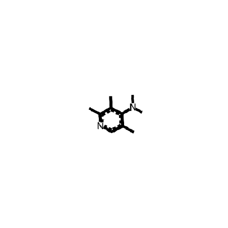 Cc1cnc(C)c(C)c1N(C)C